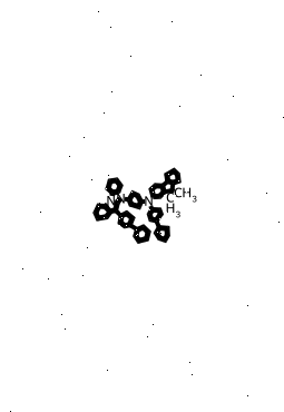 CC1(C)c2ccccc2-c2ccc(N(c3ccc(-c4ccccc4)cc3)c3ccc(-n4c5ccccc5n5c6ccccc6c(-c6ccc(-c7ccccc7)cc6)c45)cc3)cc21